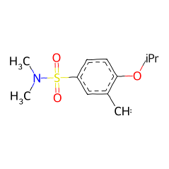 [CH]c1cc(S(=O)(=O)N(C)C)ccc1OC(C)C